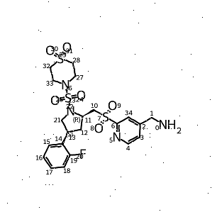 NCc1ccnc(S(=O)(=O)C[C@H]2C[C@@H](c3ccccc3F)CN2S(=O)(=O)N2CCS(=O)(=O)CC2)c1